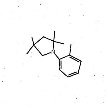 Cc1ccccc1N1CC(C)(C)CC1(C)C